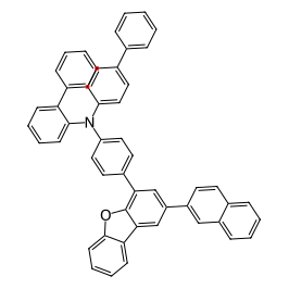 c1ccc(-c2ccc(N(c3ccc(-c4cc(-c5ccc6ccccc6c5)cc5c4oc4ccccc45)cc3)c3ccccc3-c3ccccc3)cc2)cc1